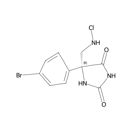 O=C1NC(=O)[C@](CNCl)(c2ccc(Br)cc2)N1